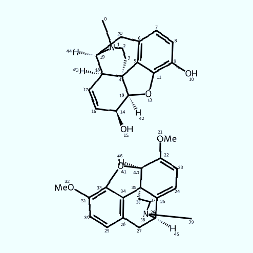 CN1CC[C@]23c4c5ccc(O)c4O[C@H]2[C@@H](O)C=C[C@H]3[C@H]1C5.COC1=CC=C2[C@H]3Cc4ccc(OC)c5c4[C@@]2(CCN3C)[C@H]1O5